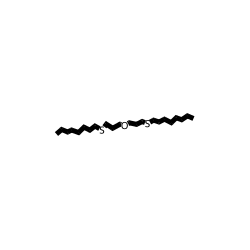 CCCCCCCCSCCCOCCCSCCCCCCCC